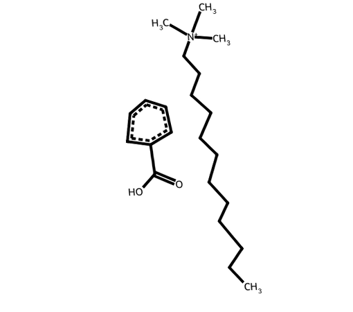 CCCCCCCCCCCC[N+](C)(C)C.O=C(O)c1ccccc1